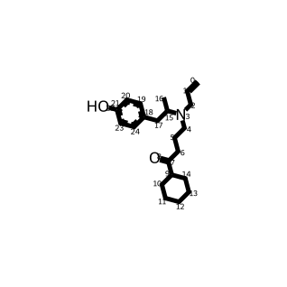 C=CCN(CCCC(=O)C1CCCCC1)C(C)Cc1ccc(O)cc1